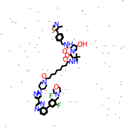 Cc1ncsc1-c1ccc(CNC(=O)[C@@H]2C[C@@H](O)CN2C(=O)[C@@H](NC(=O)CCCCCCCC(=O)N2CCC(n3cc(-c4cnc5cccc(-c6cc(F)c(CN7CCOCC7)c(F)c6)c5n4)cn3)CC2)C(C)(C)C)cc1